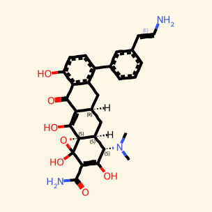 CN(C)[C@@H]1C(O)=C(C(N)=O)C2(O)O[C@@]23C(O)=C2C(=O)c4c(O)ccc(-c5cccc(/C=C/N)c5)c4C[C@H]2C[C@@H]13